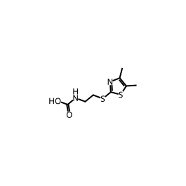 Cc1nc(SCCNC(=O)O)sc1C